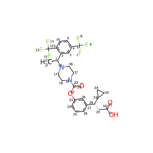 CC(c1cc(C(F)(F)F)ccc1C(F)(F)F)N1CCN(C(=O)Oc2cccc([C@@H](CC(=O)O)C3CC3)c2)CC1